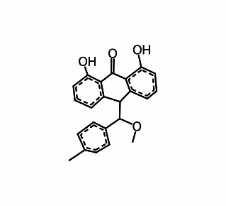 COC(c1ccc(C)cc1)C1c2cccc(O)c2C(=O)c2c(O)cccc21